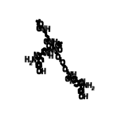 CCc1c(-c2ccc(C(=O)NCCOCCOCCOCCN(C(=O)OC(C)(C)C)C(CCNC(=O)CCCCNC(=O)OC(C)(C)C)NC(=O)c3ccc(-c4cnc(N)c(-c5ccc(O)cc5)c4CC)cn3)nc2)cnc(N)c1-c1ccc(O)cc1